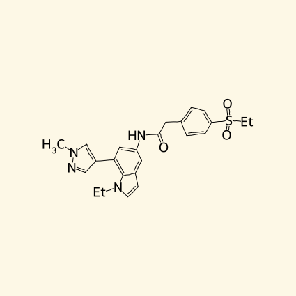 CCn1ccc2cc(NC(=O)Cc3ccc(S(=O)(=O)CC)cc3)cc(-c3cnn(C)c3)c21